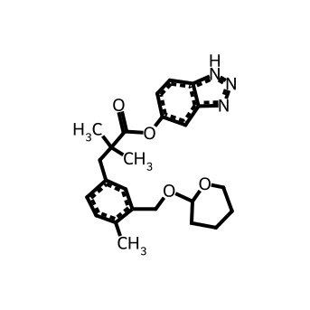 Cc1ccc(CC(C)(C)C(=O)Oc2ccc3[nH]nnc3c2)cc1COC1CCCCO1